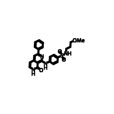 COCCCNS(=O)(=O)c1ccc(Nc2nc(-c3ccccc3)cc3cc[nH]c(=O)c23)cc1